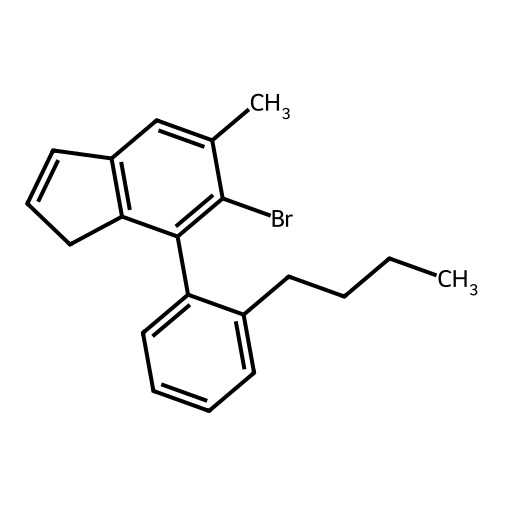 CCCCc1ccccc1-c1c(Br)c(C)cc2c1CC=C2